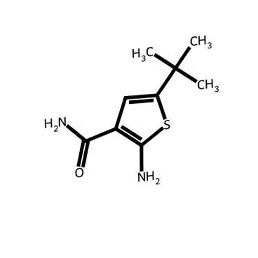 CC(C)(C)c1cc(C(N)=O)c(N)s1